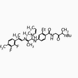 C/C=C\N(C)C(Nc1ccc(C(=O)NCC(=O)C(C)CCCC)c(CC)c1)/C(C)=N/C=C(\C)c1ccc(C)c(F)c1F